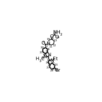 CCn1c(-c2nc3cc(C(=O)N4CCCC(OC(N)=O)C4)ccc3n2C)cc2ccc(Br)cc21